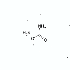 COC(N)=O.S